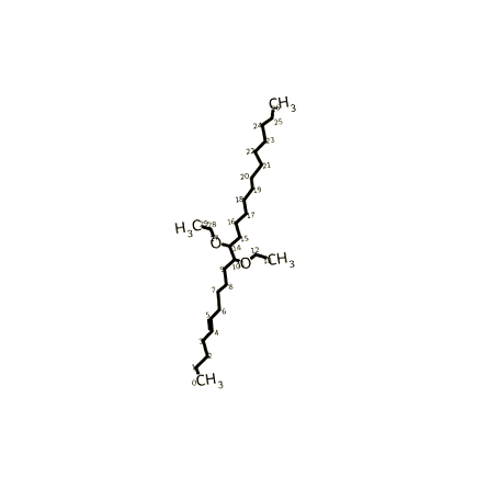 CCCCC=CCCCCC(OCC)C(CCCCCCCCCCCC)OCC